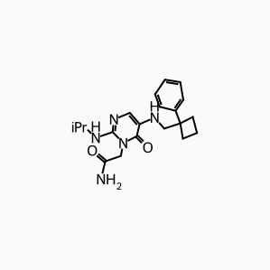 CC(C)Nc1ncc(NCC2(c3ccccc3)CCC2)c(=O)n1CC(N)=O